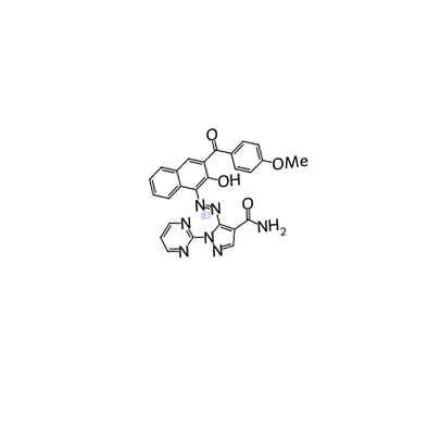 COc1ccc(C(=O)c2cc3ccccc3c(/N=N/c3c(C(N)=O)cnn3-c3ncccn3)c2O)cc1